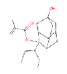 C=C(C)C(=O)OC1(C(CC)CC)C2CC3CC1CC(O)(C3)C2